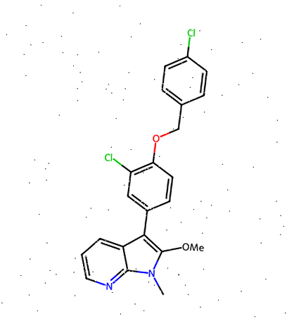 COc1c(-c2ccc(OCc3ccc(Cl)cc3)c(Cl)c2)c2cccnc2n1C